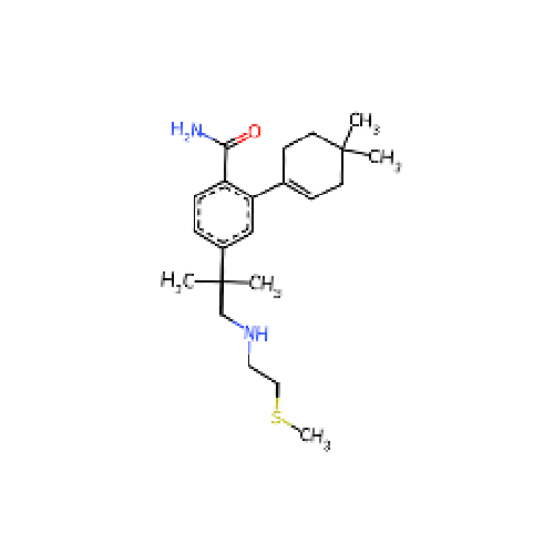 CSCCNCC(C)(C)c1ccc(C(N)=O)c(C2=CCC(C)(C)CC2)c1